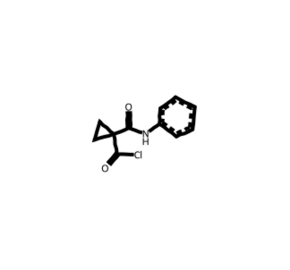 O=C(Cl)C1(C(=O)Nc2ccccc2)CC1